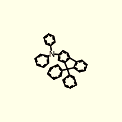 c1ccc(N(c2ccccc2)c2ccc3c(c2)C(c2ccccc2)(c2ccccc2)c2ccccc2-3)cc1